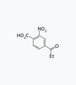 CCC(=O)c1ccc(C(=O)O)c([N+](=O)[O-])c1